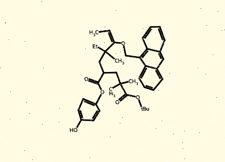 C/C=C(/OCc1c2ccccc2cc2ccccc12)C(C)(CC)CC(CC(C)(C)C(=O)OC(C)(C)C)C(=O)Oc1ccc(O)cc1